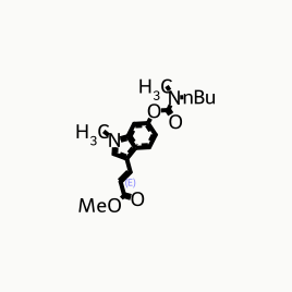 CCCCN(C)C(=O)Oc1ccc2c(/C=C/C(=O)OC)cn(C)c2c1